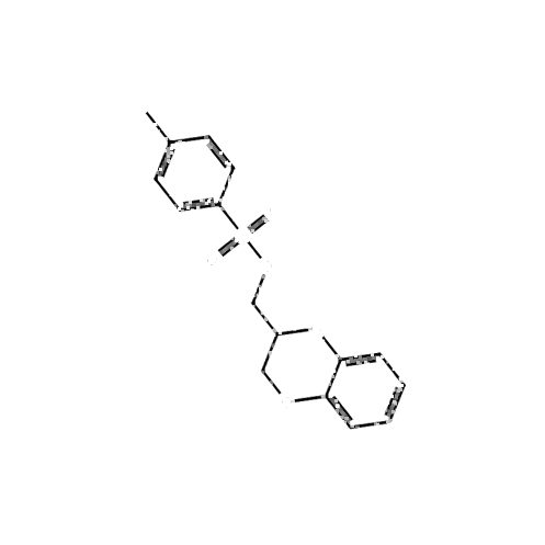 Cc1ccc(S(=O)(=O)OCC2COc3ccccc3O2)cc1